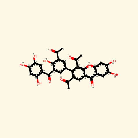 CC(=O)c1cc(-c2c(C(C)=O)cc3c(=O)c4cc(O)c(O)cc4oc3c2C(C)=O)cc(C(=O)c2cc(O)c(O)cc2O)c1O